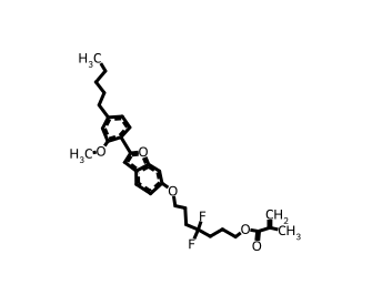 C=C(C)C(=O)OCCCC(F)(F)CCCOc1ccc2cc(-c3ccc(CCCCC)cc3OC)oc2c1